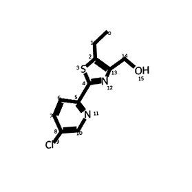 CCc1sc(-c2ccc(Cl)cn2)nc1CO